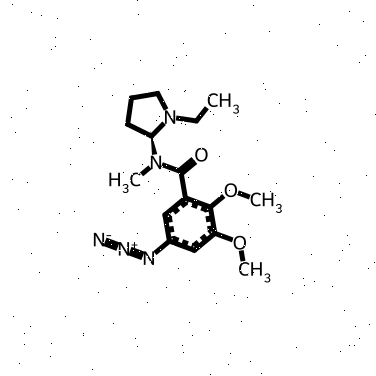 CCN1CCC[C@@H]1N(C)C(=O)c1cc(N=[N+]=[N-])cc(OC)c1OC